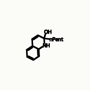 CCCCCC1(O)C=Cc2ccccc2N1